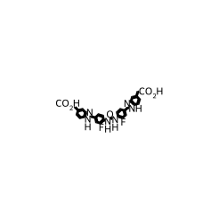 O=C(O)Cc1ccc2[nH]c(-c3ccc(NC(=O)Nc4ccc(-c5nc6cc(CC(=O)O)ccc6[nH]5)cc4F)c(F)c3)nc2c1